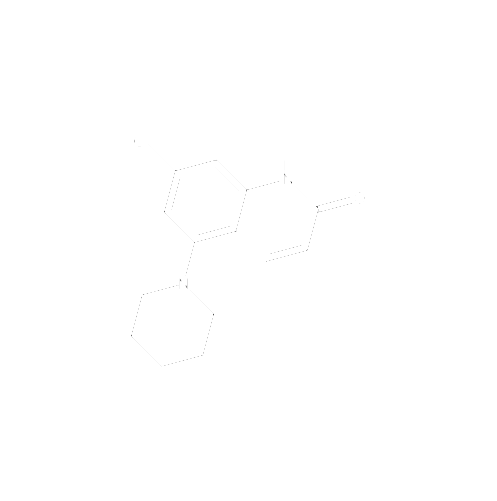 O=c1ccc2c(N3CCCCC3)cc(Cl)cc2[nH]1